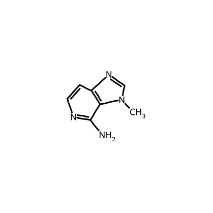 Cn1cnc2ccnc(N)c21